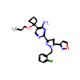 C=CCOC1(c2cnc(-c3cc(-c4ccon4)n(Cc4ccccc4F)n3)nc2N)CCC1